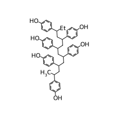 CCC(CC(CC(CC(CC(CC(C)c1ccc(O)cc1)c1ccc(O)cc1)c1ccc(O)cc1)c1ccc(O)cc1)c1ccc(O)cc1)c1ccc(O)cc1